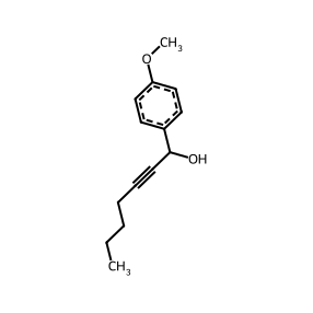 CCCCC#CC(O)c1ccc(OC)cc1